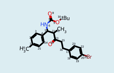 Cc1ccc(C(NC(=O)OC(C)(C)C)C(C)C(=O)CCc2ccc(Br)cc2)cc1